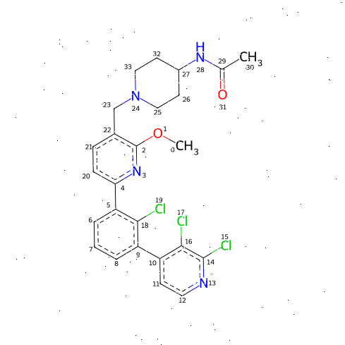 COc1nc(-c2cccc(-c3ccnc(Cl)c3Cl)c2Cl)ccc1CN1CCC(NC(C)=O)CC1